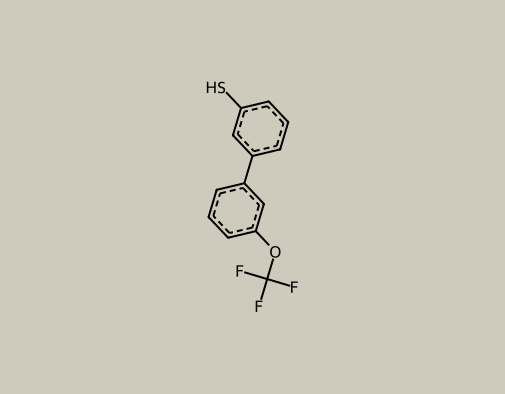 FC(F)(F)Oc1cccc(-c2cccc(S)c2)c1